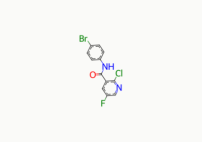 O=C(Nc1ccc(Br)cc1)c1cc(F)cnc1Cl